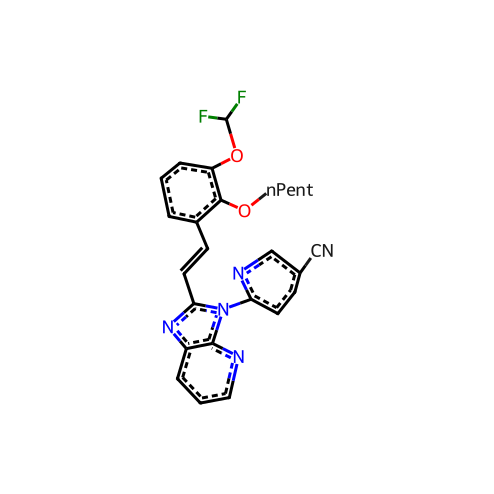 CCCCCOc1c(/C=C/c2nc3cccnc3n2-c2ccc(C#N)cn2)cccc1OC(F)F